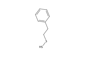 SSCCc1ccccc1